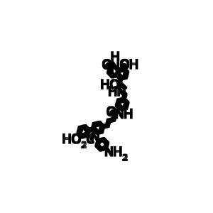 N[C@H]1CC[C@H](N(C(=O)O)c2cc(CCCC(=O)Nc3ccc(CNCC(O)c4ccc(O)c5[nH]c(=O)ccc45)cc3)ccc2-c2ccccc2)CC1